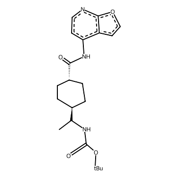 CC(NC(=O)OC(C)(C)C)[C@H]1CC[C@H](C(=O)Nc2ccnc3occc23)CC1